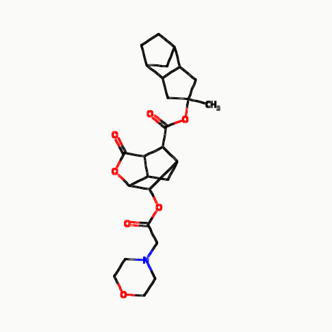 CC1(OC(=O)C2C3CC4C(OC(=O)C42)C3OC(=O)CN2CCOCC2)CC2C3CCC(C3)C2C1